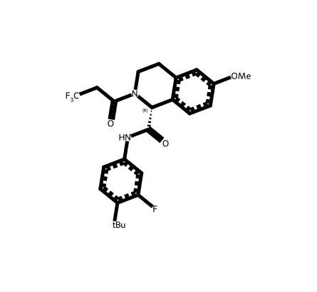 COc1ccc2c(c1)CCN(C(=O)CC(F)(F)F)[C@H]2C(=O)Nc1ccc(C(C)(C)C)c(F)c1